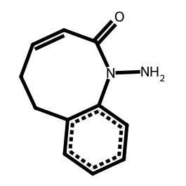 NN1C(=O)/C=C\CCc2ccccc21